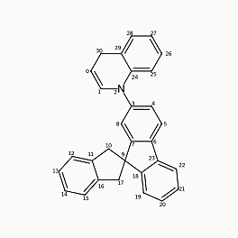 C1=CN(c2ccc3c(c2)C2(Cc4ccccc4C2)c2ccccc2-3)c2ccccc2C1